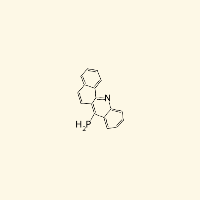 Pc1c2ccccc2nc2c1ccc1ccccc12